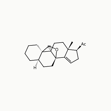 CC(=O)[C@H]1CC=C2[C@]1(C)CC[C@@H]1[C@@]34CCCC[C@@H]3CC[C@@]21OC4